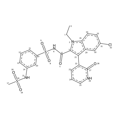 CCn1c(C(=O)NS(=O)(=O)c2cccc(NS(C)(=O)=O)c2)c(-c2ccc[nH]c2=O)c2cc(Cl)ccc21